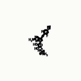 Nc1ncc2c(C#Cc3c(F)cc(N4CCC4)cc3F)cn([C@@H]3O[C@H](CNS(N)(=O)=O)[C@@H](O)[C@H]3O)c2n1